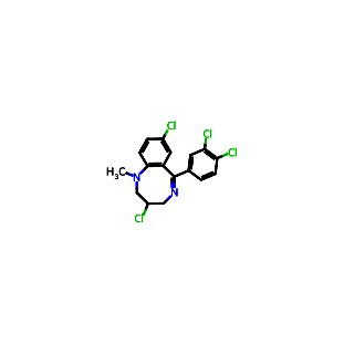 CN1CC(Cl)C/N=C(/c2ccc(Cl)c(Cl)c2)c2cc(Cl)ccc21